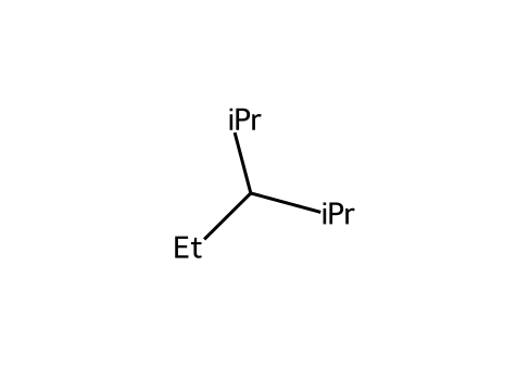 [CH2]C(C)C(CC)C([CH2])C